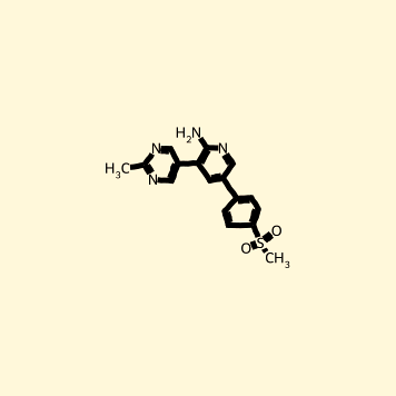 Cc1ncc(-c2cc(-c3ccc(S(C)(=O)=O)cc3)cnc2N)cn1